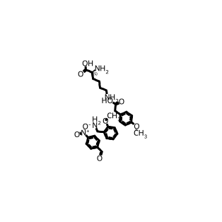 COc1ccc(CC(=O)O)cc1.COc1ccccc1CN.NCCCC[C@H](N)C(=O)O.O=Cc1ccc([N+](=O)[O-])cc1